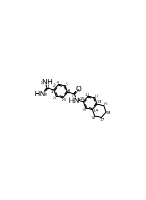 N=C(N)c1ccc(C(=O)Nc2ccc3c(c2)CCCC3)cc1